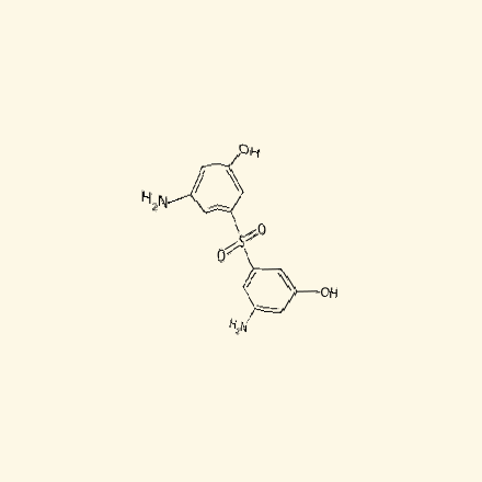 Nc1cc(O)cc(S(=O)(=O)c2cc(N)cc(O)c2)c1